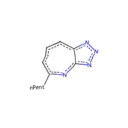 CCCCCc1cccc2nnnc-2n1